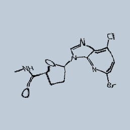 CNC(=O)[C@@H]1CC[C@H](n2cnc3c(Cl)cc(Br)nc32)O1